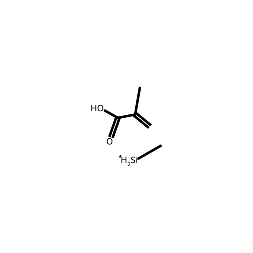 C=C(C)C(=O)O.C[SiH2]C